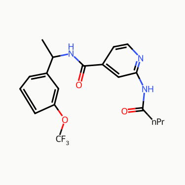 CCCC(=O)Nc1cc(C(=O)NC(C)c2cccc(OC(F)(F)F)c2)ccn1